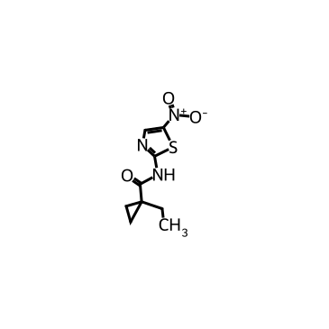 CCC1(C(=O)Nc2ncc([N+](=O)[O-])s2)CC1